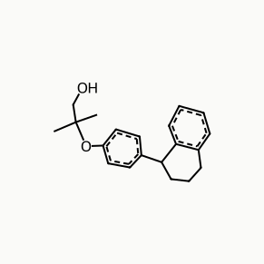 CC(C)(CO)Oc1ccc(C2CCCc3ccccc32)cc1